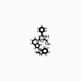 COCC(=O)N[C@@H](CCN1CCCC2CC(n3c(C)nc4ccccc43)CC21)c1ccccc1